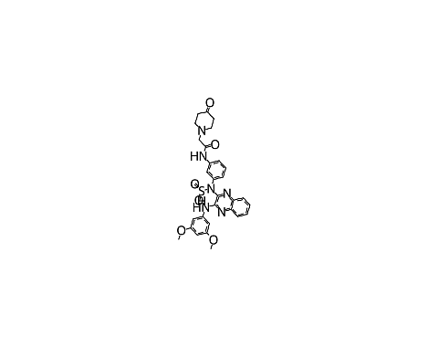 COc1cc(Nc2nc3ccccc3nc2N(c2cccc(NC(=O)CN3CCC(=O)CC3)c2)[SH](=O)=O)cc(OC)c1